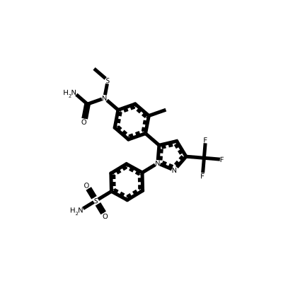 CSN(C(N)=O)c1ccc(-c2cc(C(F)(F)F)nn2-c2ccc(S(N)(=O)=O)cc2)c(C)c1